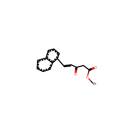 CC(C)OC(=O)CC(=O)C=Cc1cccc2ccccc12